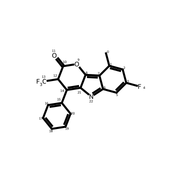 Cc1cc(F)cc2c1=C1OC(=O)C(C(F)(F)F)C(c3ccccc3)=C1N=2